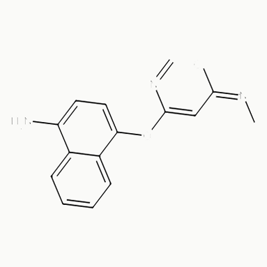 C=N/C(=C\C(Cl)=N/C)Oc1ccc(N)c2ccccc12